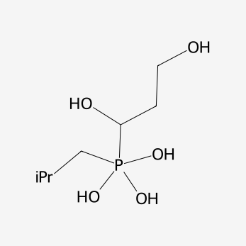 CC(C)CP(O)(O)(O)C(O)CCO